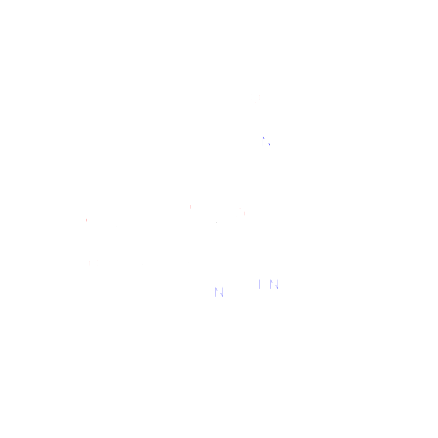 CCCCN(C=O)CCCC.CCOC(=O)C1C(c2ccc3c(c2)OCO3)CN(C)C1CNCc1ccccc1